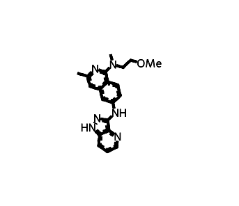 COCCN(C)c1nc(C)cc2cc(Nc3n[nH]c4cccnc34)ccc12